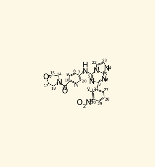 Cc1c(-c2nc(Nc3ccc(C(=O)N4CCOCC4)cc3)n3ccnc3n2)cccc1[N+](=O)[O-]